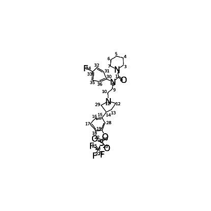 O=C(N1CCCCC1)N(CCN1CCC(c2cccc(OS(=O)(=O)C(F)(F)F)c2)C1)c1ccc(F)cc1